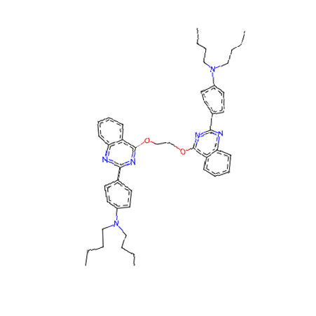 CCCCN(CCCC)c1ccc(-c2nc(OCCOc3nc(-c4ccc(N(CCCC)CCCC)cc4)nc4ccccc34)c3ccccc3n2)cc1